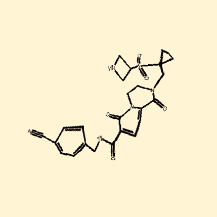 N#Cc1ccc(CNC(=O)c2ccc3n(c2=O)CCN(CC2(S(=O)(=O)C4CNC4)CC2)C3=O)cc1